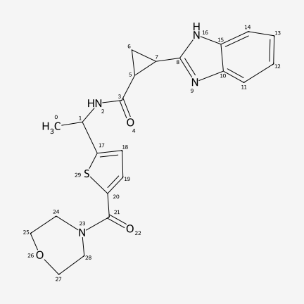 CC(NC(=O)C1CC1c1nc2ccccc2[nH]1)c1ccc(C(=O)N2CCOCC2)s1